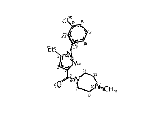 CCc1cc(C(=O)N2CCN(C)CC2)nn1-c1cccc(Cl)c1